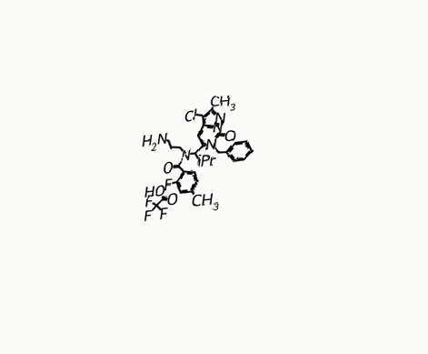 Cc1ccc(C(=O)N(CCCN)C(c2cc3c(Cl)c(C)nn3c(=O)n2Cc2ccccc2)C(C)C)c(F)c1.O=C(O)C(F)(F)F